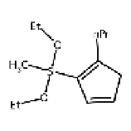 CCCC1=C([Si](C)(OCC)OCC)C=CC1